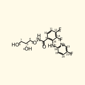 O=C(NOC[C@H](O)CO)c1ccc(F)c(F)c1Nc1ccc(F)cn1